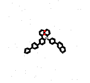 c1ccc(-c2ccc(-c3ccc(N(c4ccccc4)c4ccc(-c5ccc6ccccc6c5)cc4)c(-c4ccccc4)c3)cc2)cc1